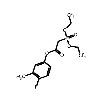 Cc1cc(OC(=O)CP(=O)(OCC(F)(F)F)OCC(F)(F)F)ccc1F